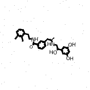 Cc1cccc(CCNC(=O)c2cccc(C[C@@H](C)NC[C@H](O)c3cc(O)cc(O)c3)c2)c1C